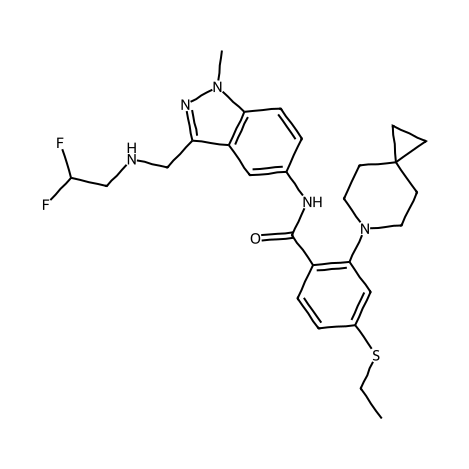 CCSc1ccc(C(=O)Nc2ccc3c(c2)c(CNCC(F)F)nn3C)c(N2CCC3(CC2)CC3)c1